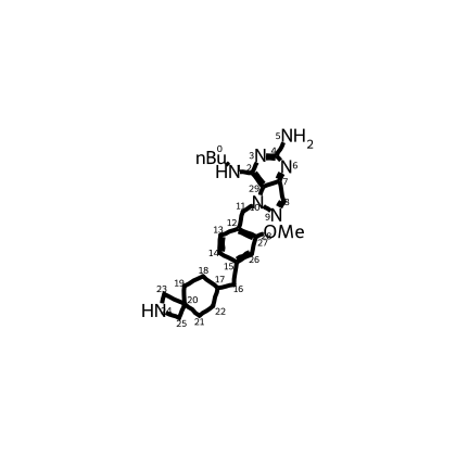 CCCCNc1nc(N)nc2cnn(Cc3ccc(CC4CCC5(CC4)CNC5)cc3OC)c12